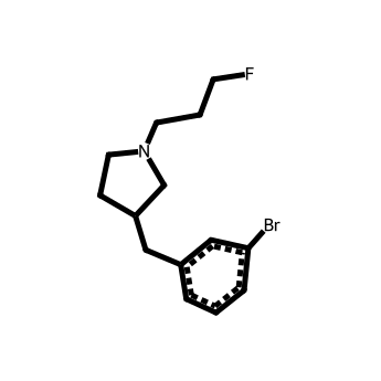 FCCCN1CCC(Cc2cccc(Br)c2)C1